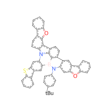 CC(C)(C)c1ccc(N2B3c4cc5c(cc4-n4c6ccc7c8ccccc8oc7c6c6ccc(c3c64)-c3cc4c(cc32)oc2ccccc24)sc2ccccc25)cc1